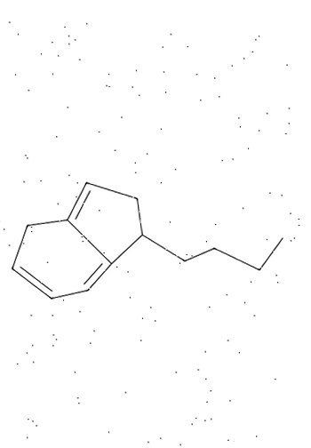 CCCCC1CC=C2CC=CC=C21